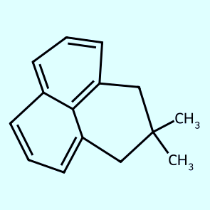 CC1(C)Cc2cccc3cccc(c23)C1